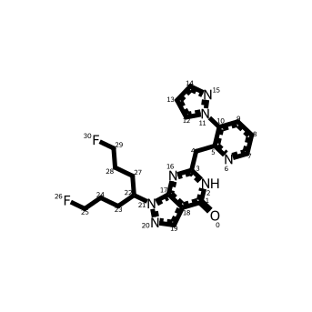 O=c1[nH]c(Cc2ncccc2-n2cccn2)nc2c1cnn2C(CCCF)CCCF